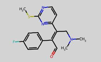 CSc1nccc(C(CN(C)C)=C(C=O)c2ccc(F)cc2)n1